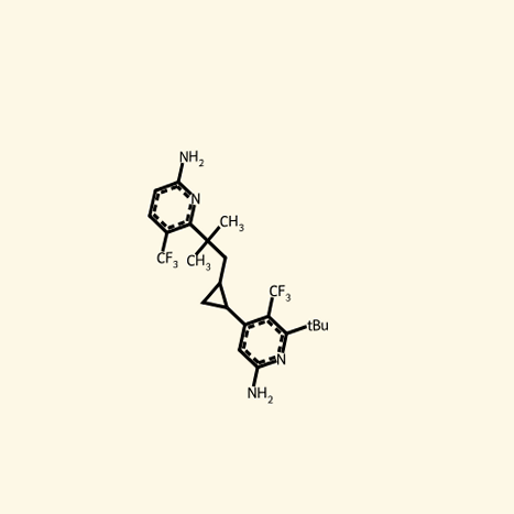 CC(C)(C)c1nc(N)cc(C2CC2CC(C)(C)c2nc(N)ccc2C(F)(F)F)c1C(F)(F)F